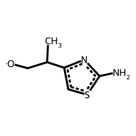 CC(C[O])c1csc(N)n1